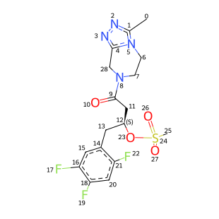 Cc1nnc2n1CCN(C(=O)C[C@H](Cc1cc(F)c(F)cc1F)OS(C)(=O)=O)C2